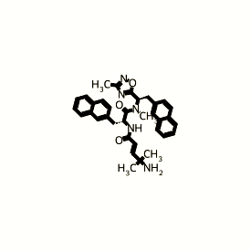 Cc1noc([C@@H](Cc2ccc3ccccc3c2)N(C)C(=O)[C@@H](Cc2ccc3ccccc3c2)NC(=O)C=CC(C)(C)N)n1